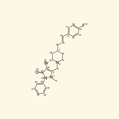 Cn1c(CN2CCC(CC=Cc3ccc(F)cc3)CC2)c(Br)c(=O)n1-c1ccccc1